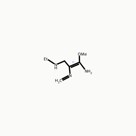 C=N/C(CNCC)=C(\N)OC